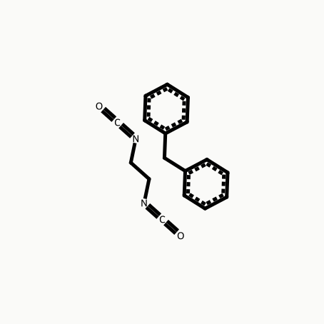 O=C=NCCN=C=O.c1ccc(Cc2ccccc2)cc1